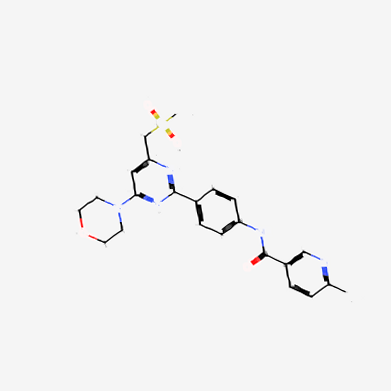 Cc1ccc(C(=O)Nc2ccc(-c3nc(CS(C)(=O)=O)cc(N4CCOCC4)n3)cc2)cn1